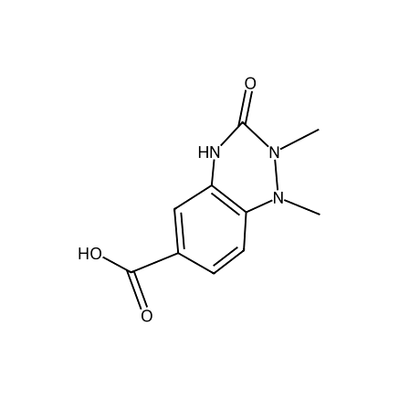 CN1C(=O)Nc2cc(C(=O)O)ccc2N1C